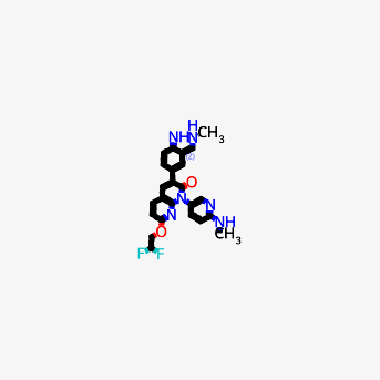 CN/C=C1/C=C(c2cc3ccc(OCC(F)F)nc3n(-c3ccc(NC)nc3)c2=O)C=CC1=N